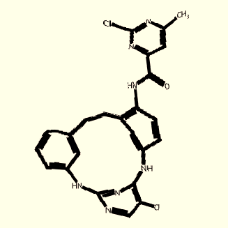 Cc1cc(C(=O)Nc2ccc3cc2CCc2cccc(c2)Nc2ncc(Cl)c(n2)N3)nc(Cl)n1